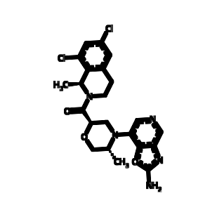 C[C@@H]1CO[C@@H](C(=O)N2CCc3cc(Cl)cc(Cl)c3[C@@H]2C)CN1c1cncc2nc(N)oc12